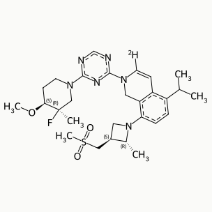 [2H]C1=Cc2c(C(C)C)ccc(N3C[C@H](CS(C)(=O)=O)[C@H]3C)c2CN1c1ncnc(N2CC[C@H](OC)[C@](C)(F)C2)n1